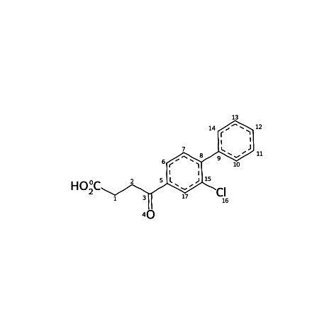 O=C(O)CCC(=O)c1ccc(-c2ccccc2)c(Cl)c1